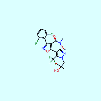 CON(C)C(=O)c1c(-c2c(F)cccc2Cl)noc1-c1cnn(CC(C)(C)O)c1C(F)(F)F